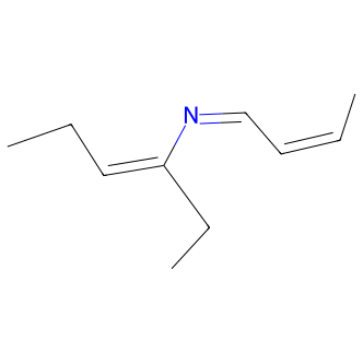 C\C=C/C=N\C(=C/CC)CC